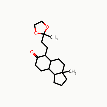 CC1(CCC2C(=O)CCC3C2CCC2(C)CCCC32)OCCO1